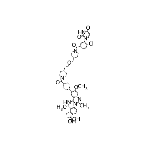 COc1cc2nc(C)nc(N[C@H](C)c3cccc4c3CCS4(O)O)c2cc1C1CCC(C(=O)N2CCC(CCOCC3CCN(C(=O)c4ccc(Cl)c(-n5ccc(=O)[nH]c5=O)c4)CC3)CC2)CC1